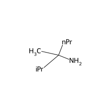 CCCC(C)(N)C(C)C